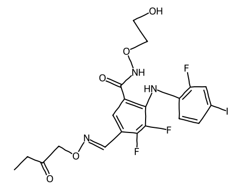 CCC(=O)CON=Cc1cc(C(=O)NOCCO)c(Nc2ccc(I)cc2F)c(F)c1F